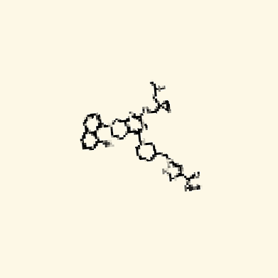 CCc1cccc2cccc(N3CCc4c(nc(OCC5(CN(C)C)CC5)nc4N4CCCC(Cn5cc(C(=O)NC)nn5)C4)C3)c12